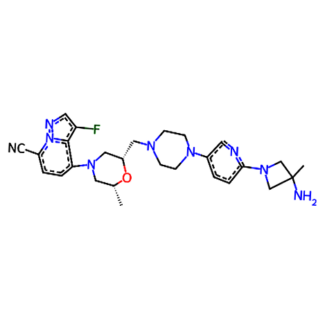 C[C@@H]1CN(c2ccc(C#N)n3ncc(F)c23)C[C@H](CN2CCN(c3ccc(N4CC(C)(N)C4)nc3)CC2)O1